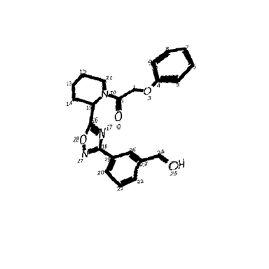 O=C(COc1ccccc1)N1CCCCC1c1nc(-c2cccc(CO)c2)no1